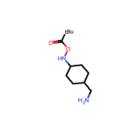 CC(C)(C)C(=O)ONC1CCC(CN)CC1